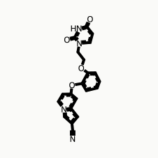 N#Cc1cc2cc(Oc3ccccc3OCCn3ccc(=O)[nH]c3=O)ccn2c1